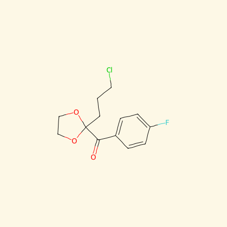 O=C(c1ccc(F)cc1)C1(CCCCl)OCCO1